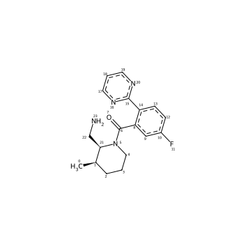 C[C@@H]1CCCN(C(=O)c2cc(F)ccc2-c2ncccn2)[C@@H]1CN